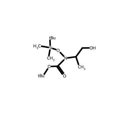 CC(CO)N(O[Si](C)(C)C(C)(C)C)C(=O)OC(C)(C)C